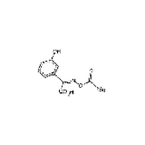 CC(C)(C)C(=O)ON=C(C(=O)O)c1cccc(O)c1